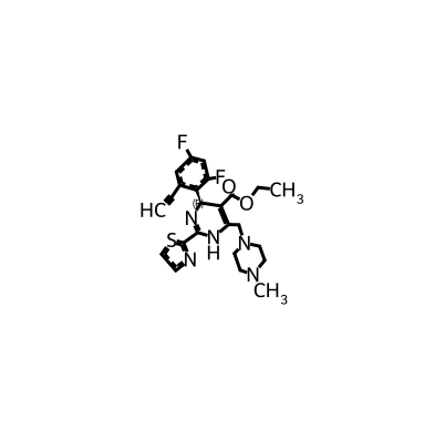 C#Cc1cc(F)cc(F)c1[C@@H]1N=C(c2nccs2)NC(CN2CCN(C)CC2)=C1C(=O)OCC